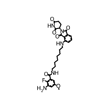 COc1cc(N)c(F)c(C(=O)NCCCCCCCCNc2cccc3c2C(=O)N(C2CCC(=O)NC2=O)C3=O)c1